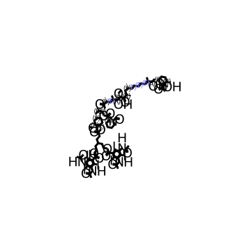 CO[C@@H]1C[C@H](C[C@@H](C)[C@H](CC(=O)[C@H](C)/C=C(\C)[C@@H](O)[C@@H](OC)C(=O)[C@H](C)C[C@H](C)/C=C/C=C/C=C(\C)[C@@H](O)C[C@@H]2CC[C@@H](C)[C@](O)(C(C)=O)O2)OC(=O)[C@@H]2CCCCN2C=O)CC[C@H]1OC(=O)CCC(CCOC(=O)c1c(I)c(NC(C)=O)c(I)c(NC(C)=O)c1I)CCOC(=O)c1c(I)c(NC(C)=O)c(I)c(NC(C)O)c1I